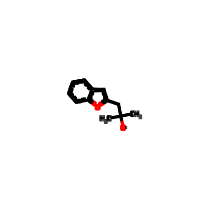 CC(C)([O])Cc1cc2ccccc2o1